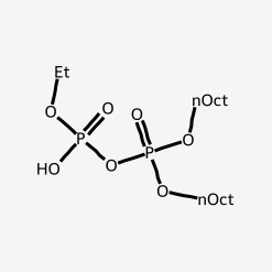 CCCCCCCCOP(=O)(OCCCCCCCC)OP(=O)(O)OCC